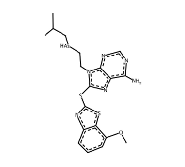 COc1cccc2nc(Sc3nc4c(N)ncnc4n3CC[AsH]CC(C)C)sc12